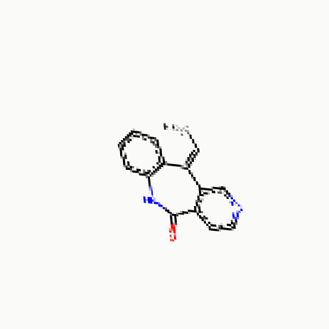 CCOC(=O)/C=C1\c2ccccc2NC(=O)c2ccncc21